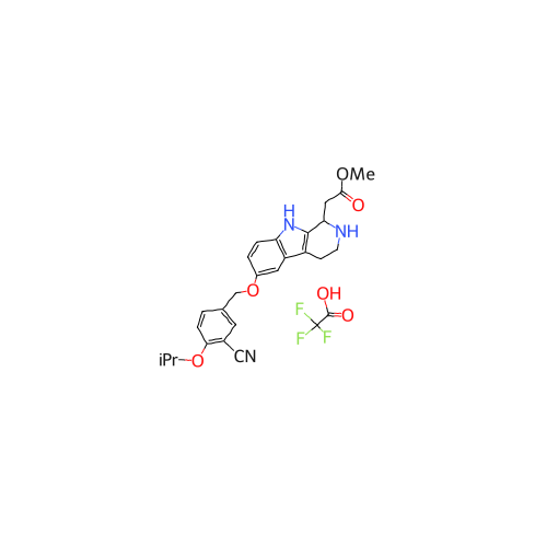 COC(=O)CC1NCCc2c1[nH]c1ccc(OCc3ccc(OC(C)C)c(C#N)c3)cc21.O=C(O)C(F)(F)F